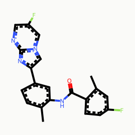 Cc1ccc(-c2cn3cc(F)cnc3n2)cc1NC(=O)c1ccc(F)cc1C